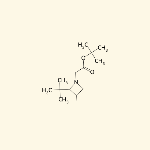 CC(C)(C)OC(=O)CN1CC(I)C1C(C)(C)C